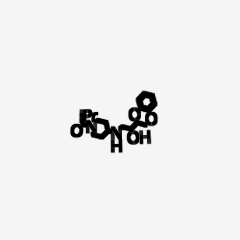 CC(C)C(=O)N1CCC(NCC(O)C2COc3ccccc3O2)CC1